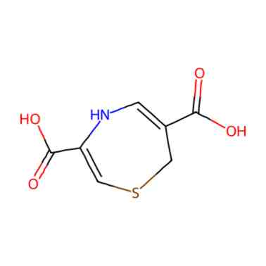 O=C(O)C1=CNC(C(=O)O)=CSC1